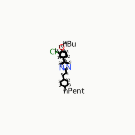 CCCCCC1CCC(CCc2ncc(-c3ccc(OCCCC)c(Cl)c3)cn2)CC1